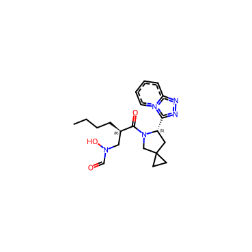 CCCC[C@H](CN(O)C=O)C(=O)N1CC2(CC2)C[C@H]1c1nnc2ccccn12